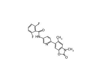 Cc1cc2c(cc1-c1ccc(NC(=O)c3c(F)cccc3F)cn1)oc(=O)n2C